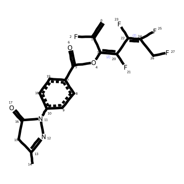 C=C(F)/C(OC(=O)c1ccc(N2N=C(C)CC2=O)cc1)=C(F)\C(F)=C(\F)CF